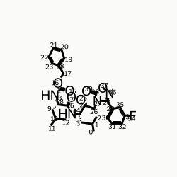 CC(C)C[C@H](NC(=O)[C@H](CC(C)C)NC(=O)OCc1ccccc1)C(=O)Cn1c(-c2cccc(F)c2)noc1=O